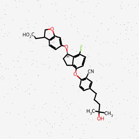 CC(C)(O)CCCc1ccc(Oc2ccc(F)c3c2CC[C@H]3Oc2ccc3c(c2)OCC3CC(=O)O)c(C#N)c1